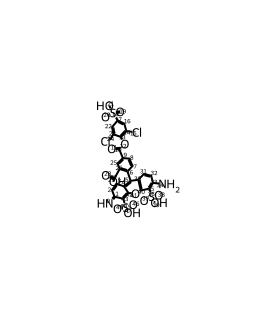 N=c1ccc2c(-c3ccc(C(=O)Oc4c(Cl)cc(S(=O)(=O)O)cc4Cl)cc3C(=O)O)c3ccc(N)c(S(=O)(=O)O)c3oc-2c1S(=O)(=O)O